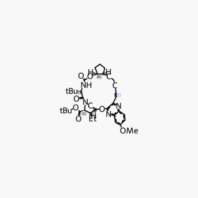 CC[C@@H]1[C@@H]2CN(C(=O)[C@H](C(C)(C)C)NC(=O)O[C@@H]3CCC[C@H]3CCC/C=C/c3nc4ccc(OC)cc4nc3O2)[C@@H]1C(=O)OC(C)(C)C